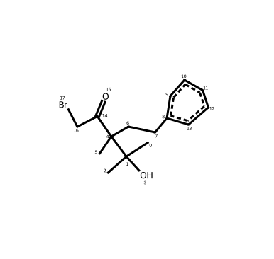 CC(C)(O)C(C)(CCc1ccccc1)C(=O)CBr